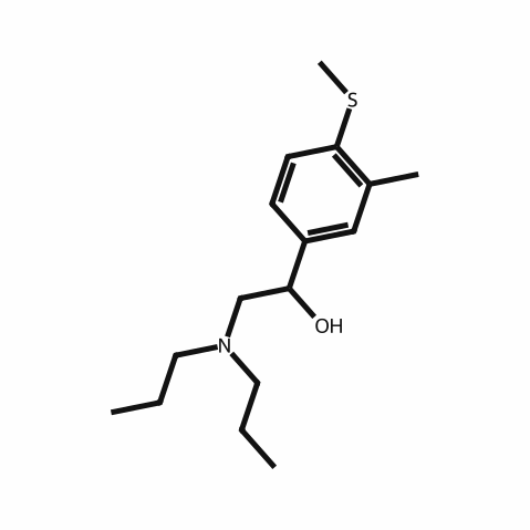 CCCN(CCC)CC(O)c1ccc(SC)c(C)c1